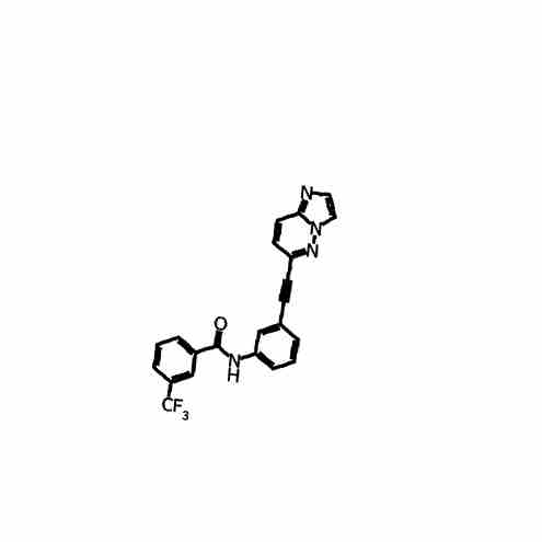 O=C(Nc1cccc(C#Cc2ccc3nccn3n2)c1)c1cccc(C(F)(F)F)c1